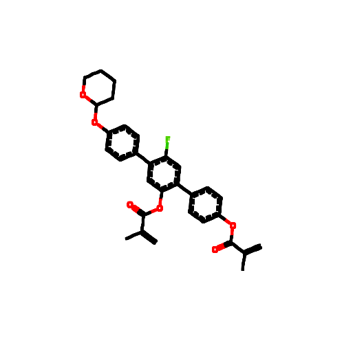 C=C(C)C(=O)Oc1ccc(-c2cc(F)c(-c3ccc(OC4CCCCO4)cc3)cc2OC(=O)C(=C)C)cc1